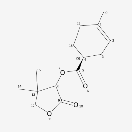 CC1=CC[C@@H](C(=O)OC2C(=O)OCC2(C)C)CC1